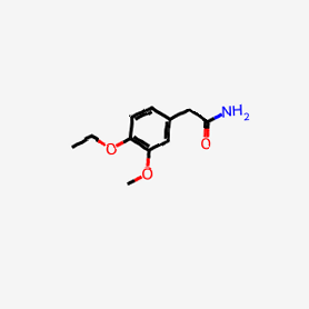 CCOc1ccc(CC(N)=O)cc1OC